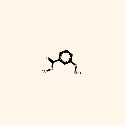 CC(C)(C)OC(=O)c1cccc(SC=O)c1